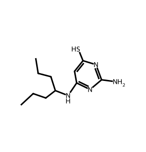 CCCC(CCC)Nc1cc(S)nc(N)n1